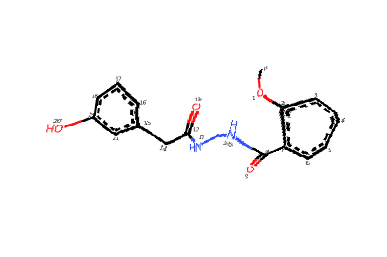 COc1ccccc1C(=O)NNC(=O)Cc1cccc(O)c1